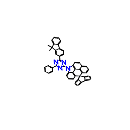 CC1(C)c2ccccc2-c2ccc(-c3nc(-c4ccccc4)nc(-n4c5cccc6c5c5c7c(cccc7ccc54)C64c5ccccc5-c5ccccc54)n3)cc21